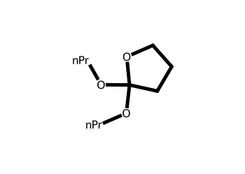 CCCOC1(OCCC)CCCO1